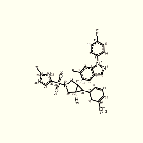 Cc1cc2c(cnn2-c2ccc(F)cc2)cc1[C@@]12CN(S(=O)(=O)c3cnn(C)n3)C[C@@H]1[C@@H]2C1C=CC=C(C(F)(F)F)C1